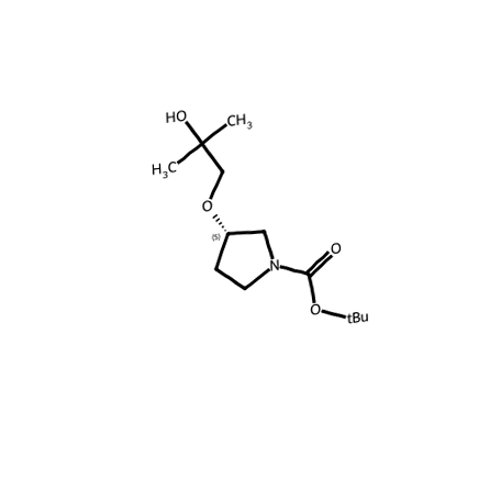 CC(C)(O)CO[C@H]1CCN(C(=O)OC(C)(C)C)C1